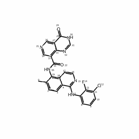 Cc1ccc2c(Nc3cccc(Cl)c3F)nccc2c1NC(=O)c1cncc2c(=O)[nH]cnc12